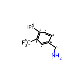 CC(C)c1ccc(CN)cc1C(F)(F)F